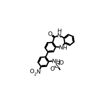 CS(=O)(=O)Nc1cc([N+](=O)[O-])ccc1-c1ccc2c(c1)Nc1ccccc1NC2=O